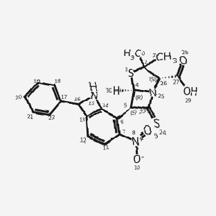 CC1(C)S[C@@H]2[C@H](c3c([N+](=O)[O-])ccc4c3NC4c3ccccc3)C(=S)N2[C@H]1C(=O)O